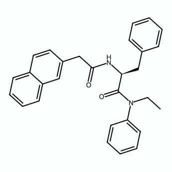 CCN(C(=O)[C@H](Cc1ccccc1)NC(=O)Cc1ccc2ccccc2c1)c1ccccc1